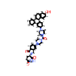 O=C1CCC(N2Cc3cc(N4CCN(C(=O)N5CCN(c6ccc([C@@H]7c8ccc(O)cc8CC[C@@H]7c7ccccc7)cc6)CC5)CC4)ccc3C2=O)C(=O)N1